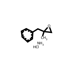 CC1(Cc2ccccc2)CO1.Cl.N